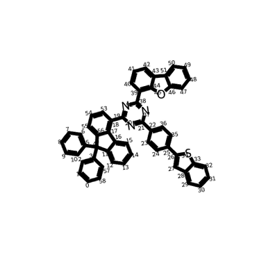 c1ccc(C2(c3ccccc3)c3ccccc3-c3c(-c4nc(-c5ccc(-c6cc7ccccc7s6)cc5)nc(-c5cccc6c5oc5ccccc56)n4)cccc32)cc1